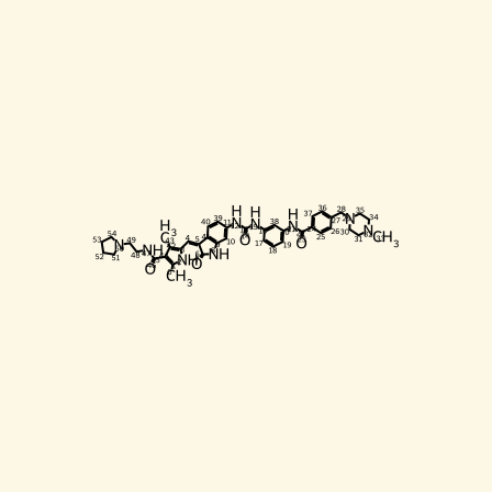 Cc1[nH]c(C=C2C(=O)Nc3cc(NC(=O)Nc4cccc(NC(=O)c5ccc(CN6CCN(C)CC6)cc5)c4)ccc32)c(C)c1C(=O)NCCN1CCCC1